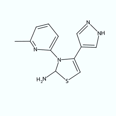 Cc1cccc(N2C(c3cn[nH]c3)=CSC2N)n1